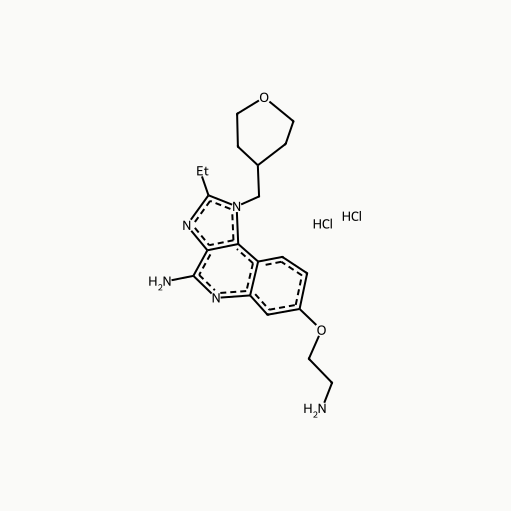 CCc1nc2c(N)nc3cc(OCCN)ccc3c2n1CC1CCOCC1.Cl.Cl